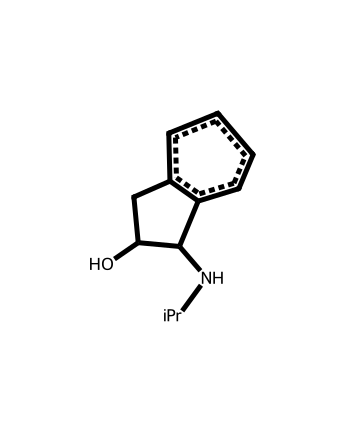 CC(C)NC1c2ccccc2CC1O